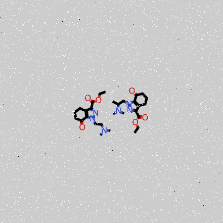 CCOC(=O)c1nn(CC(C)N(C)C)c2c1CCCC2=O.CCOC(=O)c1nn(CCN(C)C)c2c1CCCC2=O